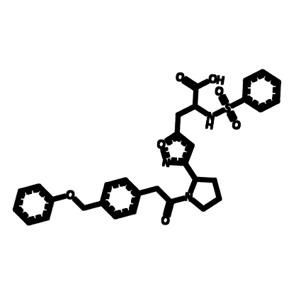 O=C(O)C(Cc1cc(C2CCCN2C(=O)Cc2ccc(COc3ccccc3)cc2)no1)NS(=O)(=O)c1ccccc1